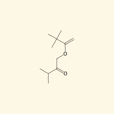 C=C(OCC(=O)C(C)C)C(C)(C)C